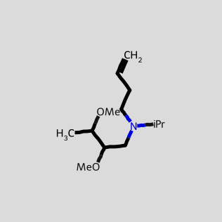 C=CCCN(CC(OC)C(C)OC)C(C)C